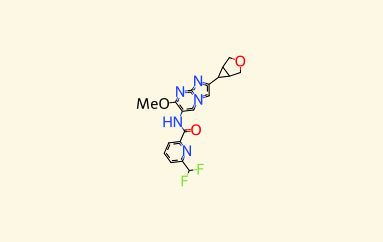 COc1nc2nc(C3C4COCC43)cn2cc1NC(=O)c1cccc(C(F)F)n1